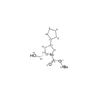 CC(C)(C)OC(=O)N1CC(C2CCCC2)C[C@H]1CO